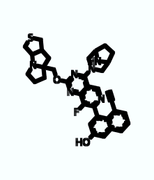 C#Cc1cccc2cc(O)cc(-c3ncc4c(N5CC6CCC(C5)N6)nc(OCC56CCCN5C5CSCC5C6)nc4c3F)c12